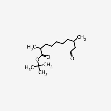 CC(CC=O)CCCCCC(C)C(=O)OC(C)(C)C